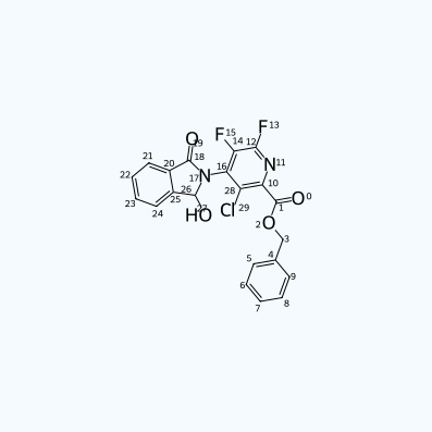 O=C(OCc1ccccc1)c1nc(F)c(F)c(N2C(=O)c3ccccc3C2O)c1Cl